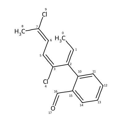 C\C=C(/C(Cl)=C\C=C(/C)Cl)c1ccccc1C=O